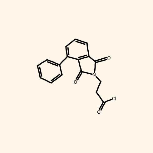 O=C(Cl)CCN1C(=O)c2cccc(-c3ccccc3)c2C1=O